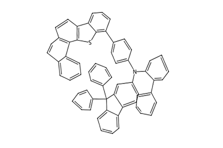 c1ccc(-c2ccccc2N(c2ccc(-c3cccc4c3sc3c4ccc4ccc5ccccc5c43)cc2)c2ccc3c(c2)C(c2ccccc2)(c2ccccc2)c2ccccc2-3)cc1